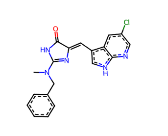 CN(Cc1ccccc1)C1=N/C(=C\c2c[nH]c3ncc(Cl)cc23)C(=O)N1